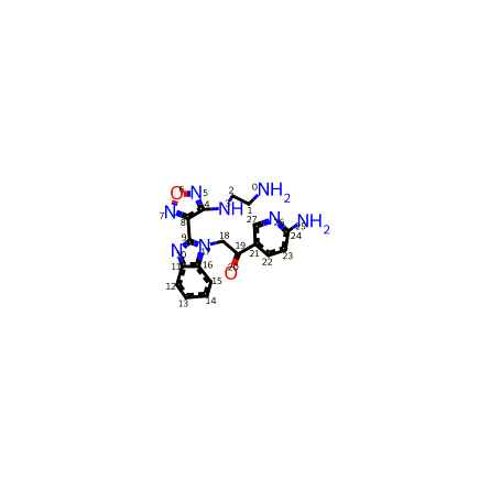 NCCNc1nonc1-c1nc2ccccc2n1CC(=O)c1ccc(N)nc1